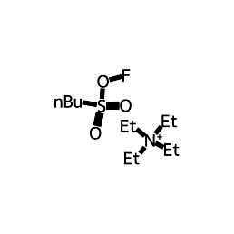 CCCCS(=O)(=O)OF.CC[N+](CC)(CC)CC